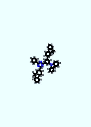 CC1(C)c2ccccc2-c2ccc(-c3cc(-c4nc(-c5ccccc5)nc(-c5ccc6c(c5)C(C)(C)c5ccccc5-6)n4)cc(-n4c5ccccc5c5ccccc54)c3)cc21